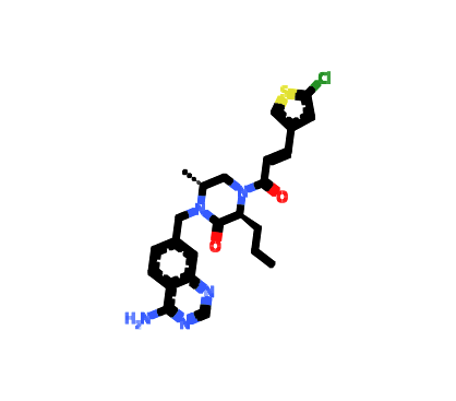 CCC[C@H]1C(=O)N(Cc2ccc3c(N)ncnc3c2)[C@H](C)CN1C(=O)C=Cc1csc(Cl)c1